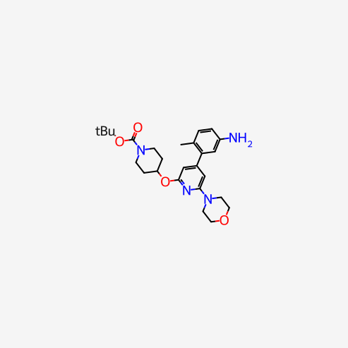 Cc1ccc(N)cc1-c1cc(OC2CCN(C(=O)OC(C)(C)C)CC2)nc(N2CCOCC2)c1